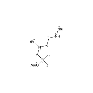 CO[Si](C)(C)CN(CCNC(C)(C)C)C(C)(C)C